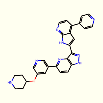 c1cc(-c2ccnc3[nH]c(-c4n[nH]c5ccc(-c6cncc(OC7CCNCC7)c6)nc45)cc23)ccn1